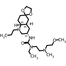 CCCN1C[C@@H](NC(=O)N(CC)CCN(C)CCOC)C[C@@H]2CC3(CC[C@H]21)OCCO3